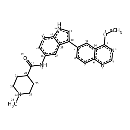 COc1ncnc2ccc(-c3c[nH]c4ncc(NC(=O)C5CCN(C)CC5)cc34)cc12